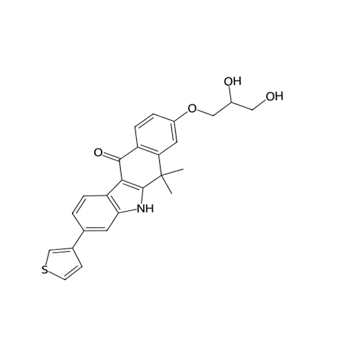 CC1(C)c2cc(OCC(O)CO)ccc2C(=O)c2c1[nH]c1cc(-c3ccsc3)ccc21